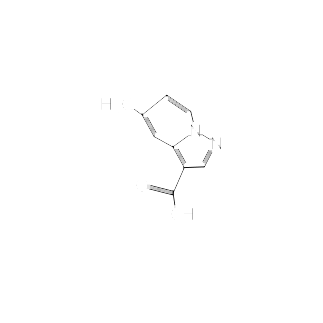 CC(=O)c1cnn2ccc(C)cc12